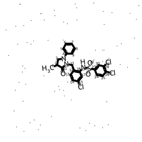 CC1CN(c2ccccc2)N(Cc2ccc(Cl)cc2NS(=O)(=O)c2ccc(Cl)c(Cl)c2)C1=O